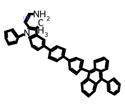 Cc1c(/C=C\N)n(-c2ccccc2)c2ccc(-c3ccc(-c4ccc(-c5c6ccccc6c(-c6ccccc6)c6ccccc56)cc4)cc3)cc12